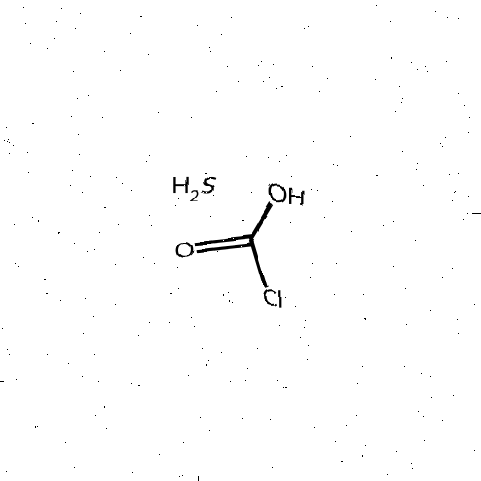 O=C(O)Cl.S